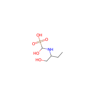 CCC(CO)NC(O)S(=O)(=O)O